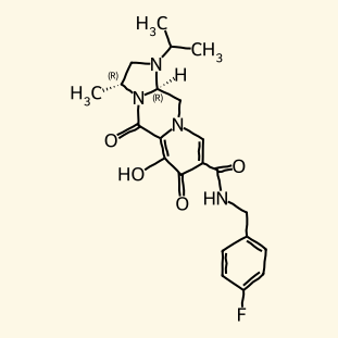 CC(C)N1C[C@@H](C)N2C(=O)c3c(O)c(=O)c(C(=O)NCc4ccc(F)cc4)cn3C[C@H]12